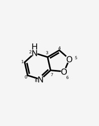 C1=CNC2=COOC2=N1